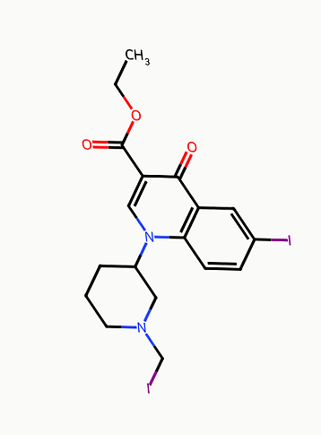 CCOC(=O)c1cn(C2CCCN(CI)C2)c2ccc(I)cc2c1=O